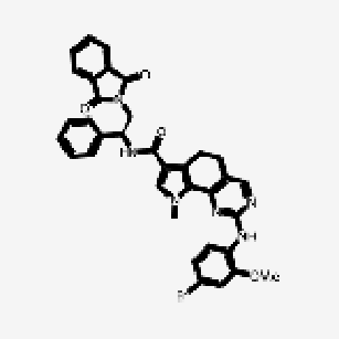 COc1cc(Br)ccc1Nc1ncc2c(n1)-c1c(c(C(=O)N[C@H](CN3C(=O)c4ccccc4C3=O)c3ccccc3)cn1C)CC2